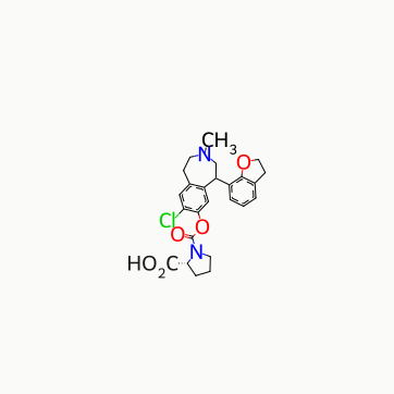 CN1CCc2cc(Cl)c(OC(=O)N3CCC[C@@H]3C(=O)O)cc2C(c2cccc3c2OCC3)C1